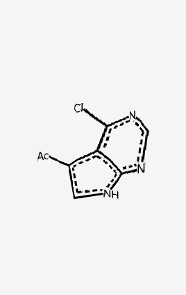 CC(=O)c1c[nH]c2ncnc(Cl)c12